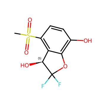 CS(=O)(=O)c1ccc(O)c2c1[C@H](O)C(F)(F)O2